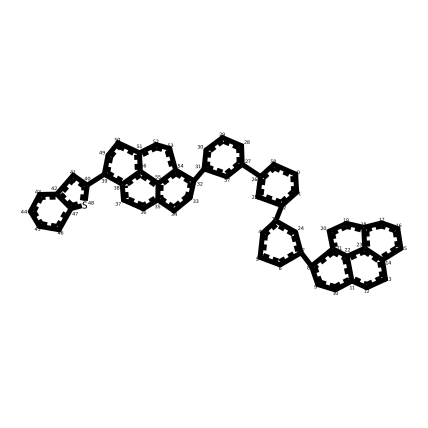 c1cc(-c2cccc(-c3ccc4ccc5cccc6ccc3c4c56)c2)cc(-c2cccc(-c3ccc4ccc5c(-c6cc7ccccc7s6)ccc6ccc3c4c65)c2)c1